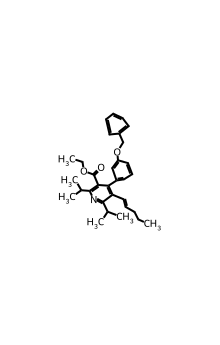 CCCC=Cc1c(C(C)C)nc(C(C)C)c(C(=O)OCC)c1-c1cccc(OCc2ccccc2)c1